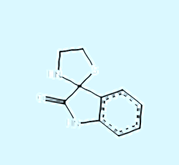 O=C1Nc2ccccc2C12NCCS2